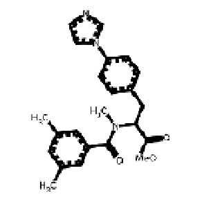 COC(=O)C(Cc1ccc(-n2ccnc2)cc1)N(C)C(=O)c1cc(C)cc(C)c1